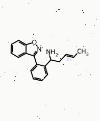 C/C=C/CC(N)c1ccccc1-c1noc2ccccc12